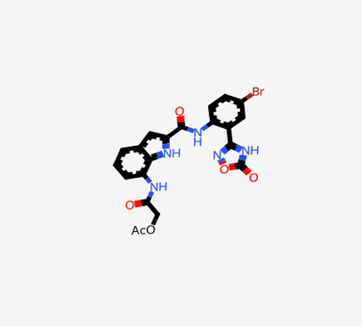 CC(=O)OCC(=O)Nc1cccc2cc(C(=O)Nc3ccc(Br)cc3-c3noc(=O)[nH]3)[nH]c12